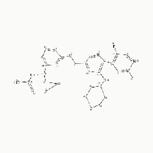 Cc1cc(-c2ncc(COc3cccc([C@@H](CC(=O)O)C4CC4)c3)nc2OC2CCCCC2)c(F)cn1